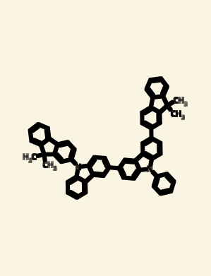 CC1(C)c2ccccc2-c2ccc(-c3ccc4c(c3)c3cc(-c5ccc6c(c5)c5ccccc5n6-c5ccc6c(c5)C(C)(C)c5ccccc5-6)ccc3n4-c3ccccc3)cc21